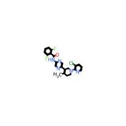 CC1=C(c2cnc(NC(=O)c3c(F)cccc3F)cn2)CN(c2ncccc2Cl)CC1